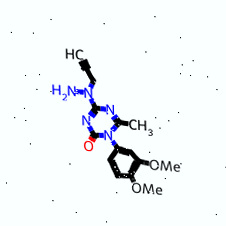 C#CCN(N)c1nc(C)n(-c2ccc(OC)c(OC)c2)c(=O)n1